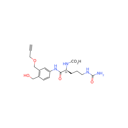 C#CCOCc1cc(NC(=O)[C@H](CCCNC(N)=O)NC(=O)O)ccc1CO